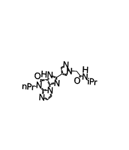 CCCn1c(=O)c2[nH]c(-c3cnn(CC(=O)NC(C)C)c3)nc2n2ccnc12